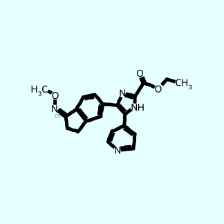 CCOC(=O)c1nc(-c2ccc3c(c2)CC/C3=N/OC)c(-c2ccncc2)[nH]1